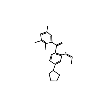 C=C(c1ccc(C2CCCC2)cc1/N=C\C)c1cc(C)cc(C)c1C